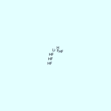 F.F.F.F.F.[Li]